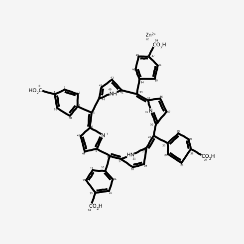 O=C(O)c1ccc(-c2c3nc(c(-c4ccc(C(=O)O)cc4)c4ccc([nH]4)c(-c4ccc(C(=O)O)cc4)c4nc(c(-c5ccc(C(=O)O)cc5)c5ccc2[nH]5)C=C4)C=C3)cc1.[Zn+2]